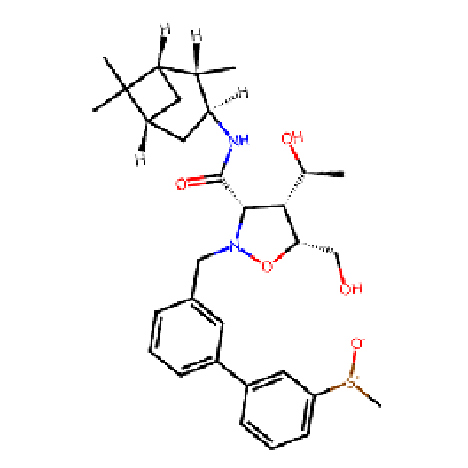 C[C@@H]1[C@@H](NC(=O)[C@@H]2[C@H]([C@H](C)O)[C@H](CO)ON2Cc2cccc(-c3cccc([S+](C)[O-])c3)c2)C[C@H]2C[C@@H]1C2(C)C